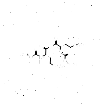 CSCC[C@@H](NC(=O)OC(C)(C)C)C(=O)S(=O)(=O)C(=O)[C@@H](CCSC)NC(=O)OC(C)(C)C